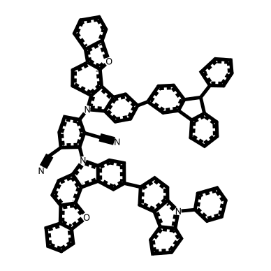 N#Cc1ccc(-n2c3ccc(-c4ccc5c(c4)-c4ccccc4C5c4ccccc4)cc3c3c4oc5ccccc5c4ccc32)c(C#N)c1-n1c2ccc(-c3ccc4c(c3)c3ccccc3n4-c3ccccc3)cc2c2c3oc4ccccc4c3ccc21